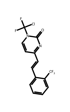 O=c1nc(/C=C/c2ccccc2C(F)(F)F)ccn1C(F)(F)Cl